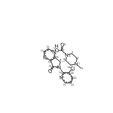 CN1CCN(C(=O)O)C([C@H]2c3nccnc3C(=O)N2c2ncccc2Cl)C1